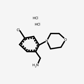 Cl.Cl.NCc1ccc(Cl)cc1N1CCOCC1